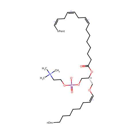 CCCCC/C=C\C/C=C\C/C=C\CCCCCCC(=O)O[C@H](CO/C=C\CCCCCCCCCCCCCCCC)COP(=O)([O-])OCC[N+](C)(C)C